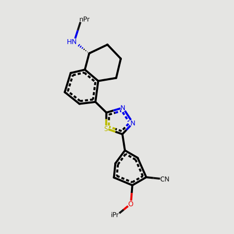 CCCN[C@@H]1CCCc2c(-c3nnc(-c4ccc(OC(C)C)c(C#N)c4)s3)cccc21